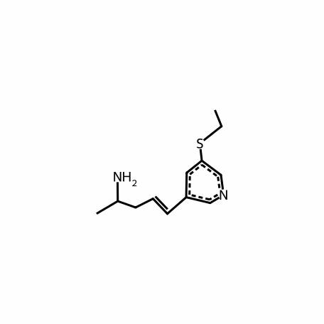 CCSc1cncc(C=CCC(C)N)c1